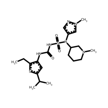 CCc1sc(C(C)C)cc1NC(=O)NS(=O)(=O)N(c1cnn(C)c1)C1CCCN(C)C1